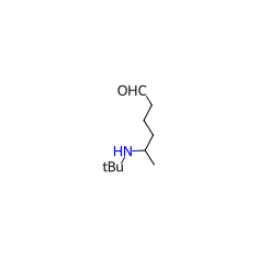 CC(CCCC=O)NC(C)(C)C